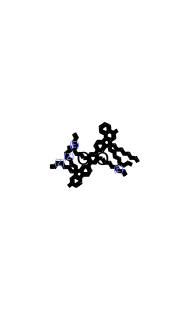 C=C/C=C\CCCC1(CCC/C=C\C=C)c2cc(C)ccc2-c2ccc(-c3cc(OCCC/C=C/C=C)c(-c4ccc5c(c4)C(CCCCCCCC)(CCCCCCCC)c4cc(C)c6ccccc6c4-5)cc3OCCC/C=C/C=C)cc21